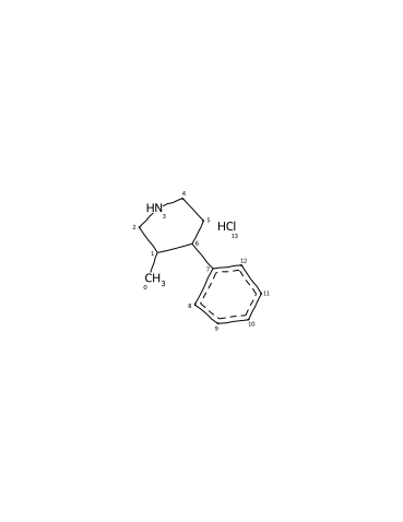 CC1CNCCC1c1ccccc1.Cl